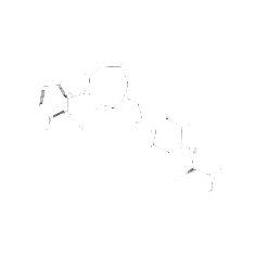 CN(C)C(=O)N[C@H]1CC[C@H](CCN2CCCCN(c3cccc(Cl)c3Cl)CC2)CC1